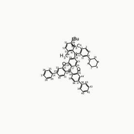 Cc1ccc(C2CCCCC2)cc1N(c1cc2c3c(c1)Oc1cc(-c4ccccc4)ccc1B3c1ccc(-c3ccccc3)cc1O2)c1cc(C(C)(C)C)ccc1C